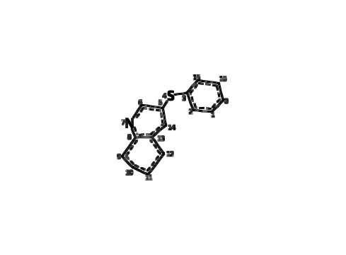 c1ccc(Sc2cnc3ccccc3c2)cc1